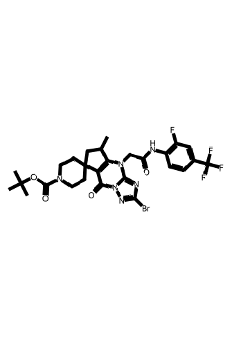 CC1CC2(CCN(C(=O)OC(C)(C)C)CC2)c2c1n(CC(=O)Nc1ccc(C(F)(F)F)cc1F)c1nc(Br)nn1c2=O